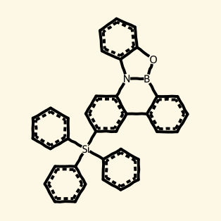 c1ccc([Si](c2ccccc2)(c2ccccc2)c2ccc3c(c2)-c2ccccc2B2Oc4ccccc4N23)cc1